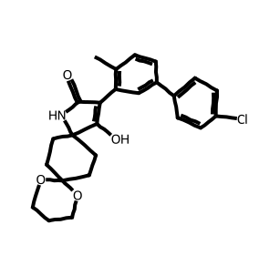 Cc1ccc(-c2ccc(Cl)cc2)cc1C1=C(O)C2(CCC3(CC2)OCCCO3)NC1=O